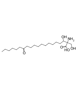 CCCCCCC(=O)CCCCCCCCCCC(O)C(N)(CO)C(=O)O